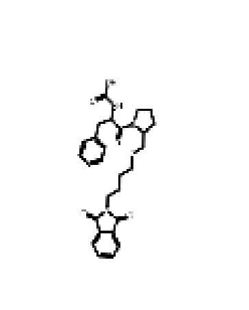 O=C(O)NC(Cc1ccccc1)C(=O)N1CCCC1CSCCCCN1C(=O)c2ccccc2C1=O